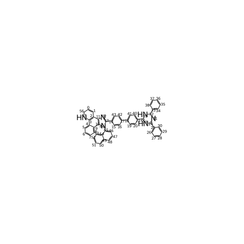 C1=Cc2c(c3ccccc3c3c2nc(-c2ccc(-c4ccc(C5NC(c6ccccc6)=NC(c6ccccc6)N5)cc4)cc2)n3-c2cccc3ccccc23)NC1